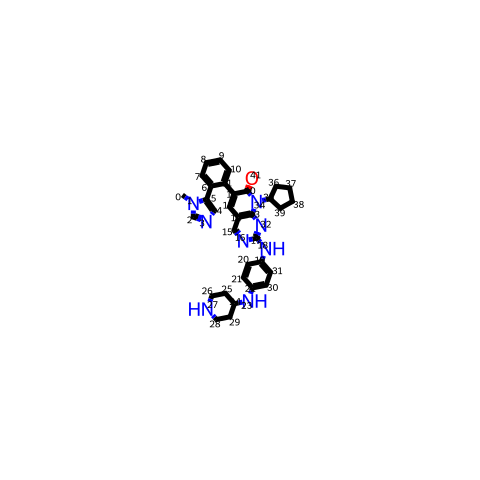 Cn1cncc1-c1ccccc1-c1cc2cnc(Nc3ccc(NC4CCNCC4)cc3)nc2n(C2CCCC2)c1=O